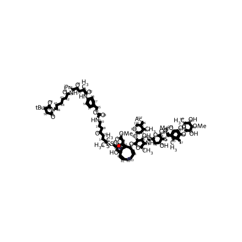 COC(=O)CC1=C2/C(=C/CSSC(C)(C)CCC(=O)CCCNC(=O)OCc3ccc(NC(=O)[C@H](C)CC(=O)[C@@H](NC(=O)CCCCCN4C(=O)CC(C(C)(C)C)C4=O)C(C)C)cc3)[C@](O)(C#C/C=C\C#C[C@@H]2OC2OC(C)C(NOC3CC(O)C(SC(=O)c4c(C)c(I)c(OC5OC(C)C(O)C(OC)C5O)c(C)c4OC)C(C)O3)C(O)C2OC2CC(C)C(CC(C)=O)CO2)CC1=O